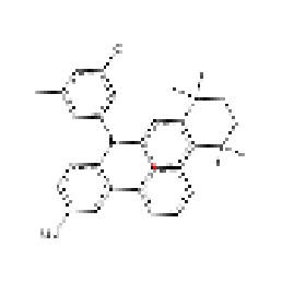 Cc1cc(Cl)cc(N(c2ccc3c(c2)C(C)(C)CCC3(C)C)c2ccc(C(C)(C)C)cc2-c2ccccc2)c1